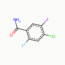 NC(=O)c1cc(I)c(Cl)cc1F